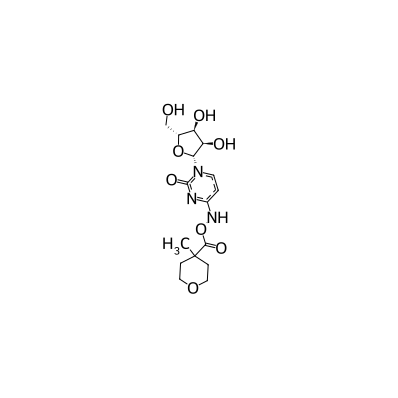 CC1(C(=O)ONc2ccn([C@@H]3O[C@H](CO)[C@@H](O)[C@H]3O)c(=O)n2)CCOCC1